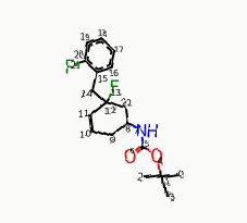 CC(C)(C)OC(=O)NC1CCCC(F)(Cc2ccccc2F)C1